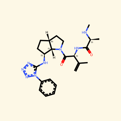 C=C(C)[C@H](NC(=O)[C@H](C)NC)C(=O)N1CC[C@H]2CC[C@H](Nc3nnnn3-c3ccccc3)[C@H]21